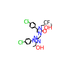 CC(O)c1nc(Cn2cc(-c3ccc(Cl)cc3)n(CC(O)C(F)(F)F)c2=O)nn1-c1ccc(Cl)cc1